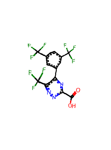 O=C(O)c1nnc(C(F)(F)F)c(-c2cc(C(F)(F)F)cc(C(F)(F)F)c2)n1